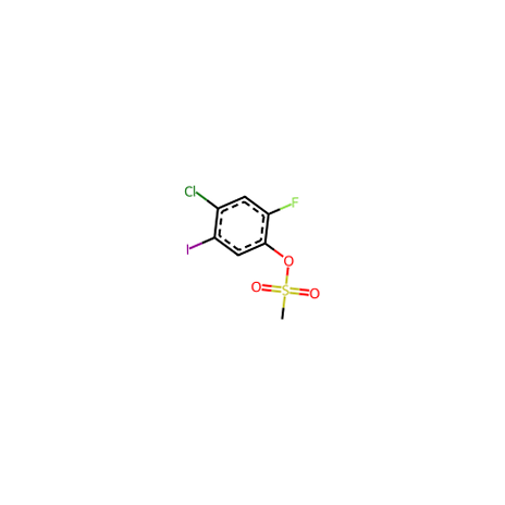 CS(=O)(=O)Oc1cc(I)c(Cl)cc1F